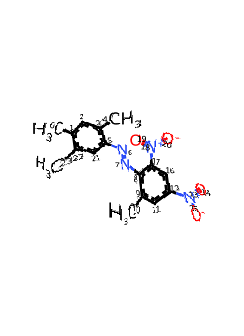 Cc1cc(C)c(N=Nc2c(C)cc([N+](=O)[O-])cc2[N+](=O)[O-])cc1C